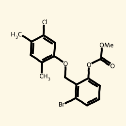 COC(=O)Oc1cccc(Br)c1COc1cc(Cl)c(C)cc1C